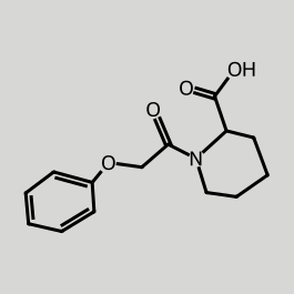 O=C(O)C1CCCCN1C(=O)COc1ccccc1